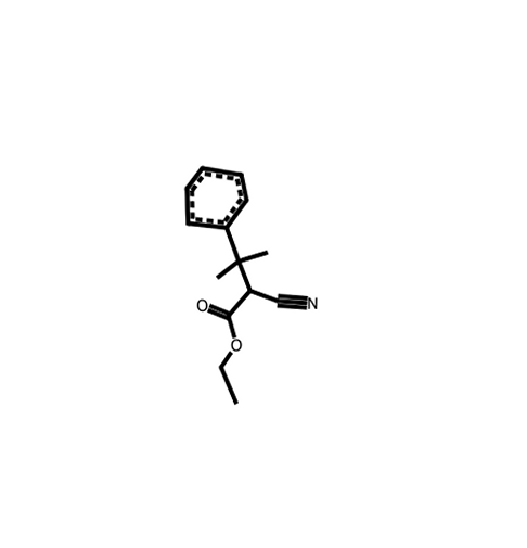 CCOC(=O)C(C#N)C(C)(C)c1ccccc1